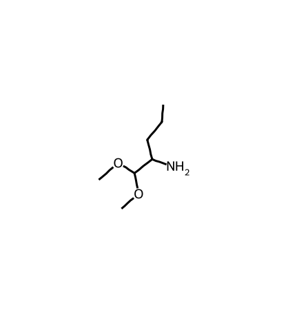 CCCC(N)C(OC)OC